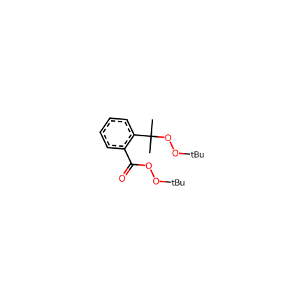 CC(C)(C)OOC(=O)c1ccccc1C(C)(C)OOC(C)(C)C